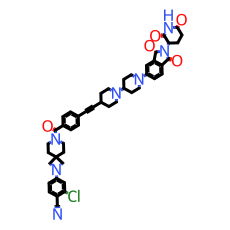 N#Cc1ccc(N2CC3(CCN(C(=O)c4ccc(C#CC5CCN(C6CCN(c7ccc8c(c7)C(=O)N(C7CCC(=O)NC7=O)C8=O)CC6)CC5)cc4)CC3)C2)cc1Cl